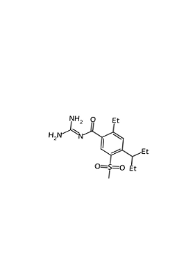 CCc1cc(C(CC)CC)c(S(C)(=O)=O)cc1C(=O)N=C(N)N